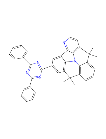 CC1(C)c2cccc3c2-n2c4c1cc(-c1nc(-c5ccccc5)nc(-c5ccccc5)n1)cc4c1nccc(c12)C3(C)C